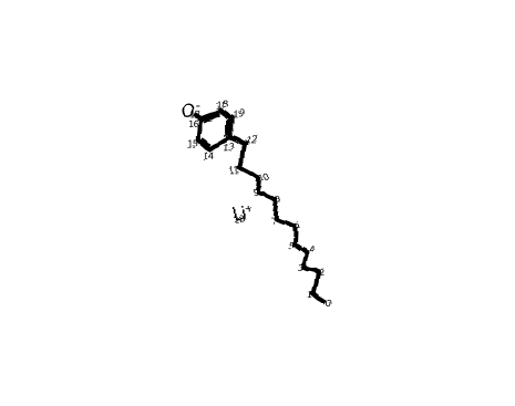 CCCCCCCCCCCCCc1ccc([O-])cc1.[Li+]